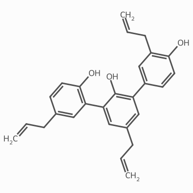 C=CCc1ccc(O)c(-c2cc(CC=C)cc(-c3ccc(O)c(CC=C)c3)c2O)c1